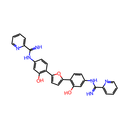 N=C(Nc1ccc(-c2ccc(-c3ccc(NC(=N)c4ccccn4)cc3O)o2)c(O)c1)c1ccccn1